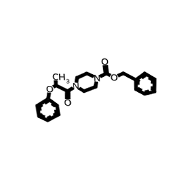 CC(Oc1ccccc1)C(=O)N1CCN(C(=O)OCc2ccccc2)CC1